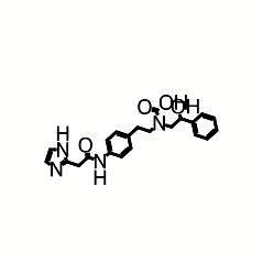 O=C(Cc1ncc[nH]1)Nc1ccc(CCN(CC(O)c2ccccc2)C(=O)O)cc1